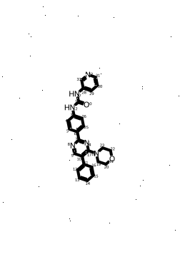 O=C(Nc1ccc(-c2ncc(-c3ccccc3)c(N3CCOCC3)n2)cc1)Nc1cccnc1